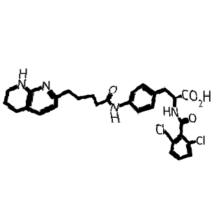 O=C(CCCCc1ccc2c(n1)NCCC2)Nc1ccc(C[C@H](NC(=O)c2c(Cl)cccc2Cl)C(=O)O)cc1